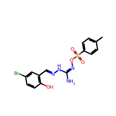 Cc1ccc(S(=O)(=O)ON=C(N)NN=Cc2cc(Br)ccc2O)cc1